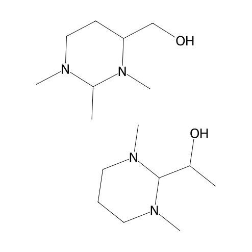 CC(O)C1N(C)CCCN1C.CC1N(C)CCC(CO)N1C